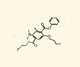 CCCCOc1cc(C(=O)CCCI)c(N(C)C)c(C)c1C(=O)Oc1ccccc1